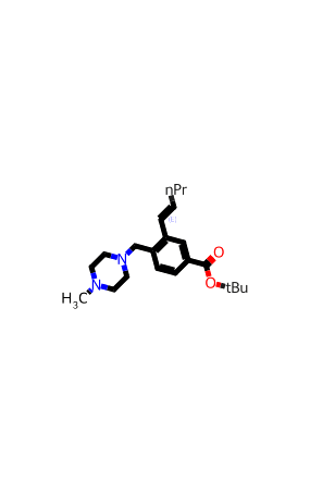 CCC/C=C/c1cc(C(=O)OC(C)(C)C)ccc1CN1CCN(C)CC1